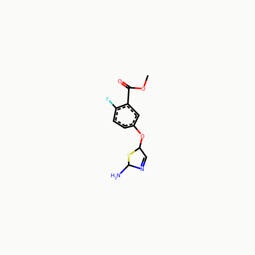 COC(=O)c1cc(OC2C=NC(N)S2)ccc1F